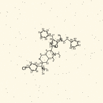 CCN(CC)C(CC1CCC(C(c2ccc(Cl)cc2)N(C)C)CC1)c1nc(Cc2ccccc2)c(N(C)CCc2ccccc2)o1